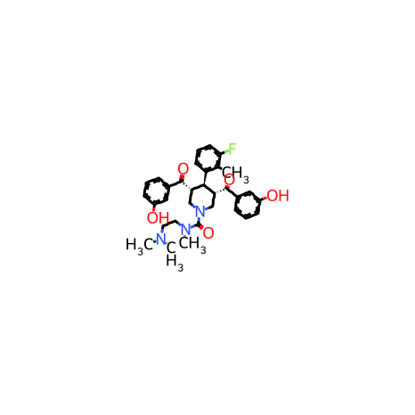 Cc1c(F)cccc1[C@@H]1[C@@H](C(=O)c2cccc(O)c2)CN(C(=O)N(C)CCN(C)C)C[C@H]1C(=O)c1cccc(O)c1